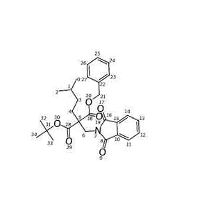 CC(C)CCC(CN1C(=O)c2ccccc2C1=O)(C(=O)OCc1ccccc1)C(=O)OC(C)(C)C